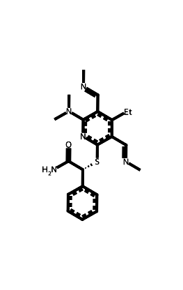 CCc1c(/C=N/C)c(S[C@@H](C(N)=O)c2ccccc2)nc(N(C)C)c1/C=N/C